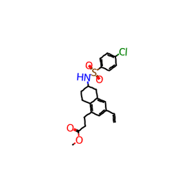 C=Cc1cc(CCC(=O)OC)c2c(c1)CC(NS(=O)(=O)c1ccc(Cl)cc1)CC2